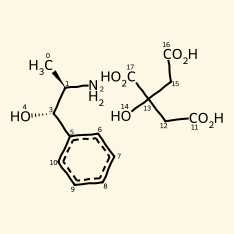 C[C@@H](N)[C@@H](O)c1ccccc1.O=C(O)CC(O)(CC(=O)O)C(=O)O